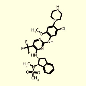 COc1cc(N2CCNCC2)c(Cl)cc1Nc1ncc(C(F)(F)F)c(N[C@@H]2Cc3ccccc3[C@H]2N(C)S(C)(=O)=O)n1